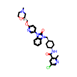 Cc1ncc(Cl)cc1C(=O)N[C@H]1CC[C@H](Cn2c(=O)n(-c3ccc(OC[C@H]4CN(C)CCO4)nc3)c3ccccc32)CC1